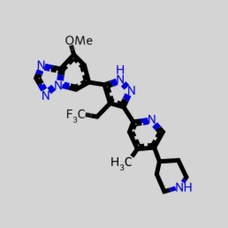 COc1cc(-c2[nH]nc(-c3cc(C)c(C4CCNCC4)cn3)c2CC(F)(F)F)cn2ncnc12